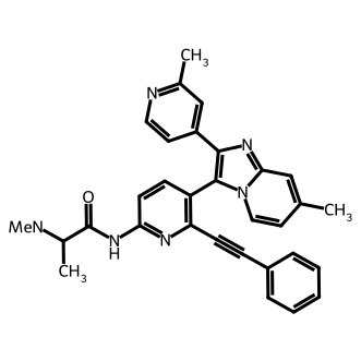 CNC(C)C(=O)Nc1ccc(-c2c(-c3ccnc(C)c3)nc3cc(C)ccn23)c(C#Cc2ccccc2)n1